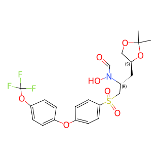 CC1(C)OC[C@H](C[C@H](CS(=O)(=O)c2ccc(Oc3ccc(OC(F)(F)F)cc3)cc2)N(O)C=O)O1